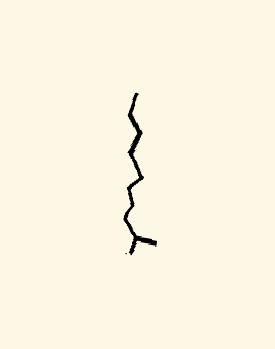 [CH2]C(C)CCCCCCCC